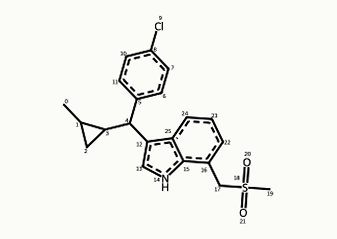 CC1CC1C(c1ccc(Cl)cc1)c1c[nH]c2c(CS(C)(=O)=O)cccc12